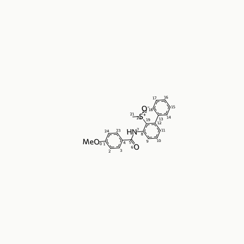 COc1ccc(C(=O)Nc2cccc(-c3ccccc3)c2[S+](C)[O-])cc1